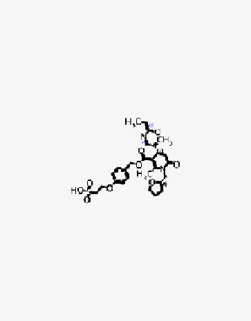 C=C(/C=N\C(Cl)=C/C)[C@@H]1CC(=O)N(C[C@H]2CCCO2)C(C)=C1C(=O)OCc1ccc(OCCS(=O)(=O)O)cc1